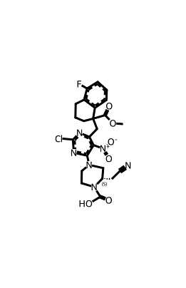 COC(=O)C1(Cc2nc(Cl)nc(N3CCN(C(=O)O)[C@@H](CC#N)C3)c2[N+](=O)[O-])CCCc2c(F)cccc21